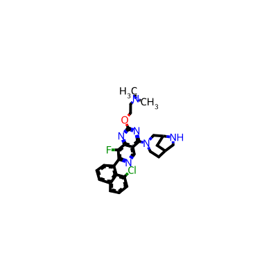 CN(C)CCOc1nc(N2CCC3CNC(C3)C2)c2cnc(-c3cccc4cccc(Cl)c34)c(F)c2n1